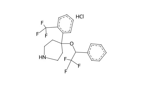 Cl.FC(F)(F)c1ccccc1C1(OC(c2ccccc2)C(F)(F)F)CCNCC1